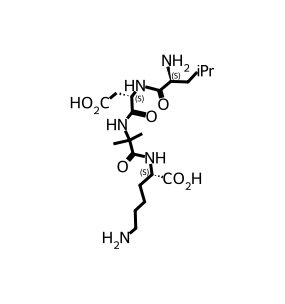 CC(C)C[C@H](N)C(=O)N[C@@H](CC(=O)O)C(=O)NC(C)(C)C(=O)N[C@@H](CCCCN)C(=O)O